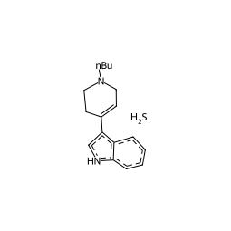 CCCCN1CC=C(c2c[nH]c3ccccc23)CC1.S